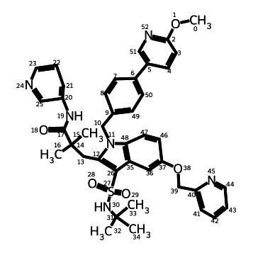 COc1ccc(-c2ccc(Cn3c(CC(C)(C)C(=O)Nc4cccnc4)c(S(=O)(=O)NC(C)(C)C)c4cc(OCc5ccccn5)ccc43)cc2)cn1